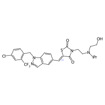 CC(C)N(CCO)CCN1C(=O)S/C(=C\c2ccc3c(cnn3Cc3ccc(Cl)cc3C(F)(F)F)c2)C1=O